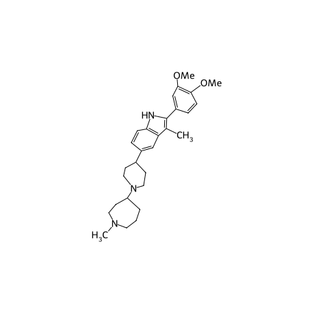 COc1ccc(-c2[nH]c3ccc(C4CCN(C5CCCN(C)CC5)CC4)cc3c2C)cc1OC